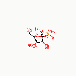 O=P(O)(O)OC1(CO)O[C@H](CO)[C@@H](O)[C@@H]1O